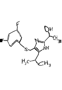 CC(C)c1[nH]c(C(C)O)nc1Sc1cc(F)cc(F)c1